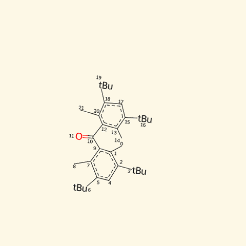 Cc1c(C(C)(C)C)cc(C(C)(C)C)c(C)c1C(=O)c1c(C)c(C(C)(C)C)cc(C(C)(C)C)c1C